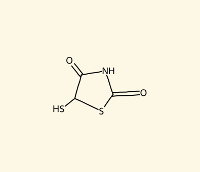 O=C1NC(=O)C(S)S1